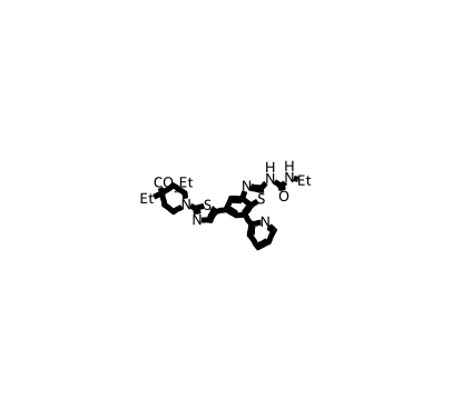 CCNC(=O)Nc1nc2cc(-c3cnc(N4CCC(CC)(C(=O)OCC)CC4)s3)cc(-c3ccccn3)c2s1